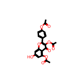 CC(=O)Oc1ccc(-c2oc3cc(O)cc(OC(C)=O)c3c(=O)c2OC(C)=O)cc1